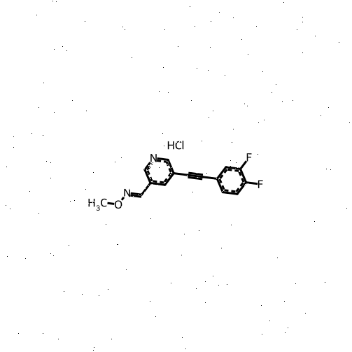 CON=Cc1cncc(C#Cc2ccc(F)c(F)c2)c1.Cl